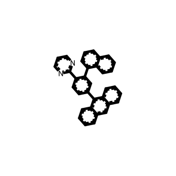 c1cnc(-c2ccc(-c3c4ccccc4cc4ccccc34)cc2-c2cccc3ccccc23)nc1